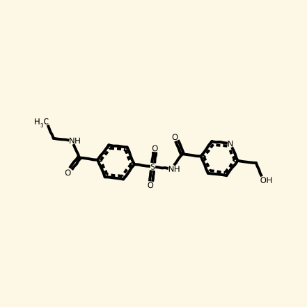 CCNC(=O)c1ccc(S(=O)(=O)NC(=O)c2ccc(CO)nc2)cc1